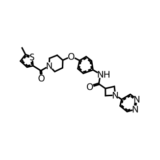 Cc1ccc(C(=O)N2CCC(Oc3ccc(NC(=O)C4CN(c5ccnnc5)C4)cc3)CC2)s1